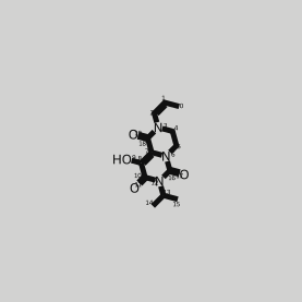 C/C=C\N1CCn2c(c(O)c(=O)n(C(C)C)c2=O)C1=O